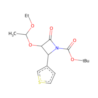 CCOC(C)OC1C(=O)N(C(=O)OC(C)(C)C)C1c1ccsc1